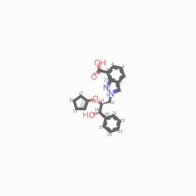 O=C(O)c1cccc2cn(C[C@H](OC3CCCC3)[C@@H](O)c3ccccc3)nc12